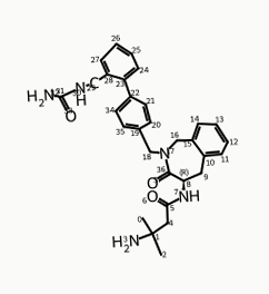 CC(C)(N)CC(=O)N[C@@H]1Cc2ccccc2CN(Cc2ccc(-c3ccccc3CNC(N)=O)cc2)C1=O